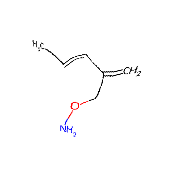 C=C(C=CC)CON